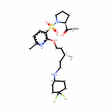 COC(=O)[C@@H]1CCCN1S(=O)(=O)c1ccc(C)nc1OCC[C@H](C)CCNC1CCC(F)(F)CC1